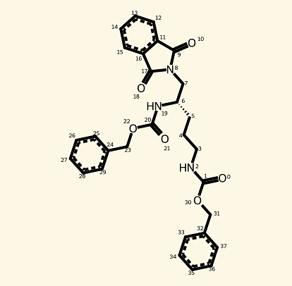 O=C(NCCC[C@@H](CN1C(=O)c2ccccc2C1=O)NC(=O)OCc1ccccc1)OCc1ccccc1